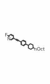 CCCCCCCCC1CCC(c2ccc(C#Cc3ccc(F)nc3)cc2)CC1